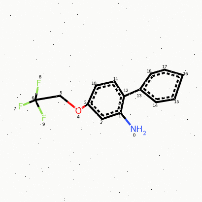 Nc1cc(OCC(F)(F)F)ccc1-c1ccccc1